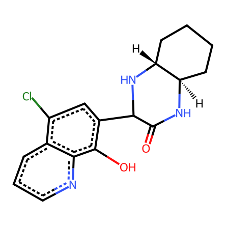 O=C1N[C@@H]2CCCC[C@H]2NC1c1cc(Cl)c2cccnc2c1O